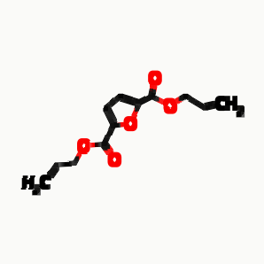 C=CCOC(=O)c1ccc(C(=O)OCC=C)o1